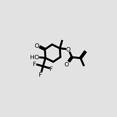 C=C(C)C(=O)OC1(C)CCC(O)(C(F)(F)F)C(=O)C1